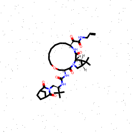 C=CCNC(=O)C(=O)[C@@H]1CCCCCCCOC[C@H](NC(=O)N[C@H](CN2C(=O)C3CCC(C3)C2=O)C(C)(C)C)C(=O)N2C[C@H]3[C@@H]([C@H]2C(=O)N1)C3(C)C